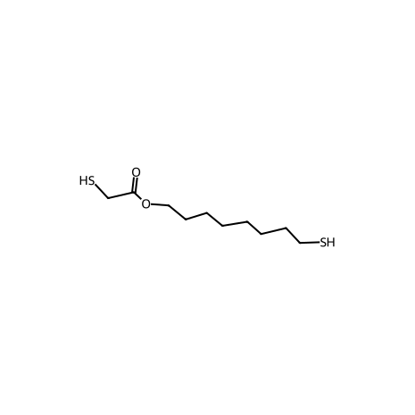 O=C(CS)OCCCCCCCCS